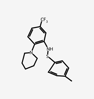 Cc1ccc(SNc2cc(C(F)(F)F)ccc2N2CCCCC2)cc1